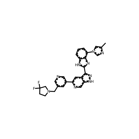 Cc1cn(-c2cccc3[nH]c(-c4n[nH]c5cnc(-c6cncc(CN7CCC(F)(F)C7)c6)cc45)nc23)cn1